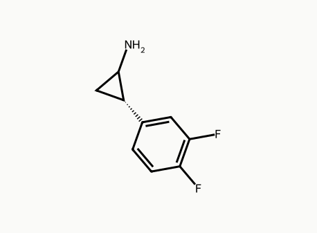 NC1C[C@H]1c1ccc(F)c(F)c1